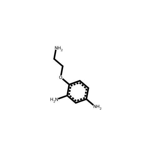 NCCOc1ccc(N)cc1N